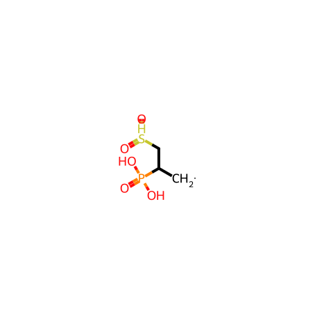 [CH2]C(C[SH](=O)=O)P(=O)(O)O